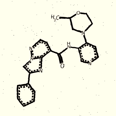 CC1CN(c2ccncc2NC(=O)c2ccnn3cc(-c4ccccc4)nc23)CCO1